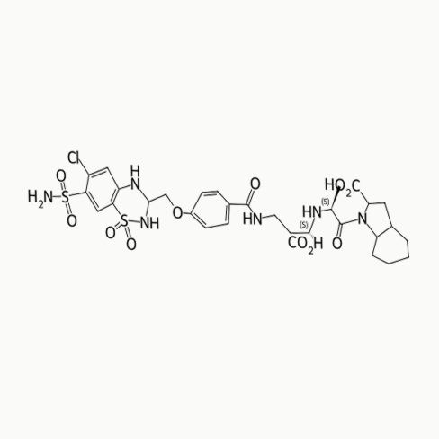 C[C@H](N[C@@H](CCNC(=O)c1ccc(OCC2Nc3cc(Cl)c(S(N)(=O)=O)cc3S(=O)(=O)N2)cc1)C(=O)O)C(=O)N1C(C(=O)O)CC2CCCCC21